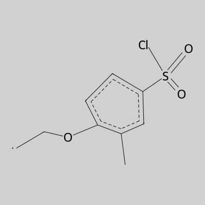 [CH2]COc1ccc(S(=O)(=O)Cl)cc1C